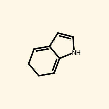 C1=c2cc[nH]c2=CCC1